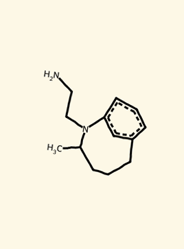 CC1CCCc2cccc(c2)N1CCN